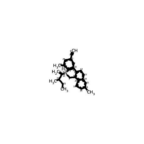 C#Cc1ccc(N(Cc2c(CC)ccc3cc(C)ccc23)C(=C)C(C)CC)c(C)c1